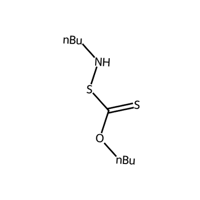 CCCCNSC(=S)OCCCC